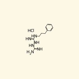 Cl.N=C(N)NNC(=N)NCCCc1ccccc1